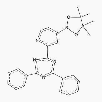 CC1(C)OB(c2ccnc(-c3nc(-c4ccccc4)nc(-c4ccccc4)n3)c2)OC1(C)C